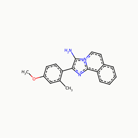 COc1ccc(-c2nc3c4ccccc4ccn3c2N)c(C)c1